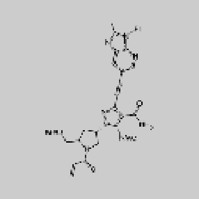 C=CC(=O)N1C[C@@H](n2nc(C#Cc3cnc4c(c3)nc(C)n4CC)c(C(N)=O)c2NC)C[C@@H]1COC